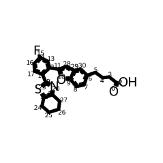 O=C(O)CCCc1ccc2oc(-c3cc(F)ccc3-c3nc4c(s3)CCCC4)cc2c1